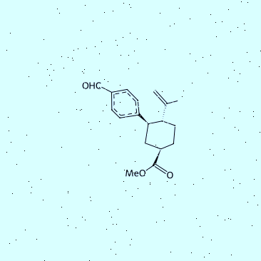 C=C(C)[C@@H]1CC[C@@H](C(=O)OC)C[C@H]1c1ccc(C=O)cc1